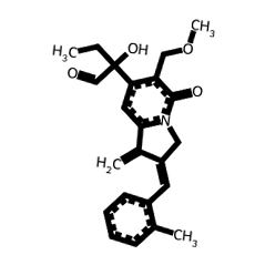 C=C1/C(=C\c2ccccc2C)Cn2c1cc(C(O)(C=O)CC)c(COC)c2=O